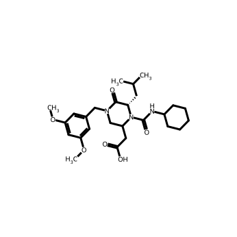 COc1cc(CN2CC(CC(=O)O)N(C(=O)NC3CCCCC3)[C@@H](CC(C)C)C2=O)cc(OC)c1